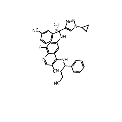 [2H][C@](Nc1cc(F)c2ncc(C#N)c(NC(CCC#N)c3ccccc3)c2c1)(c1cccc(C#N)c1)c1cn(C2CC2)nn1